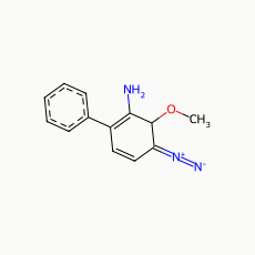 COC1C(=[N+]=[N-])C=CC(c2ccccc2)=C1N